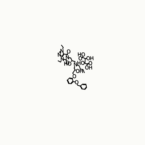 CCCCN(CC(O)COc1ccccc1OCc1ccccc1)CC(O)Cn1c(=O)c2c(ncn2CC)n(CC)c1=O.O=C(O)C(O)C(O)C(=O)O